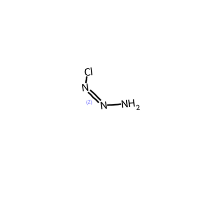 N/N=N\Cl